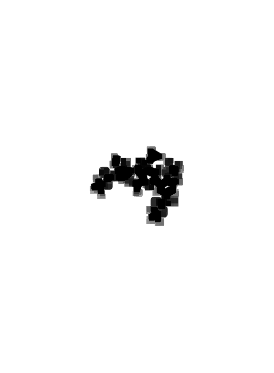 C=C[C@@H]1[C@@H]2[C@H](CN1C(=O)OC(C)(C)C)[C@H]2c1nn(C2CC2)c2c(F)c(-c3cc(NC(=O)OC(C)(C)C)cc(F)c3OC(F)(F)F)nc(C(C)C)c12